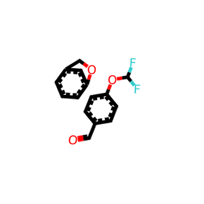 O=Cc1ccc(OC(F)F)cc1.c1cc2cc(c1)OC2